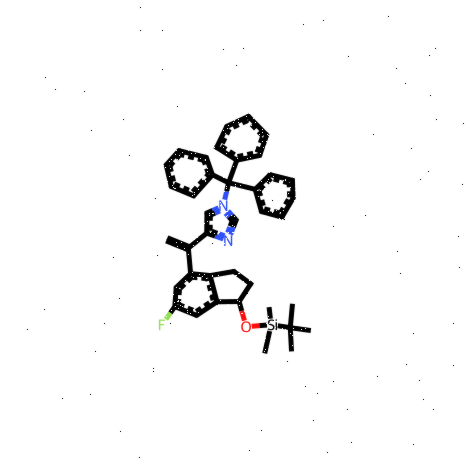 C=C(c1cn(C(c2ccccc2)(c2ccccc2)c2ccccc2)cn1)c1cc(F)cc2c1CCC2O[Si](C)(C)C(C)(C)C